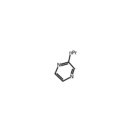 CCCc1[c]nccn1